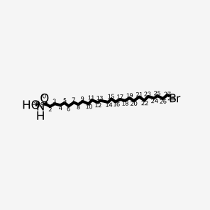 O=C(CCCCCCCCCCCCCCCCCCCCCCCCCCBr)NO